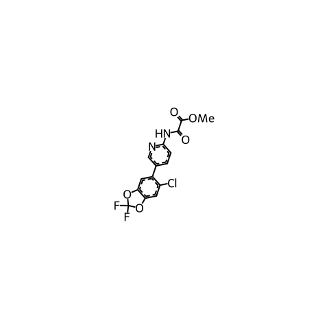 COC(=O)C(=O)Nc1ccc(-c2cc3c(cc2Cl)OC(F)(F)O3)cn1